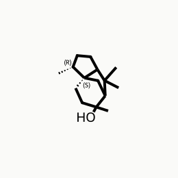 C[C@@H]1CCC2C(C)(C)C3C[C@]21CCC3(C)O